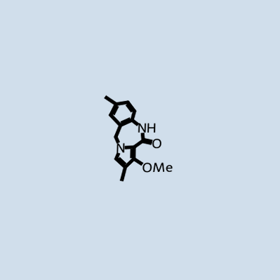 COc1c(C)cn2c1C(=O)Nc1ccc(C)cc1C2